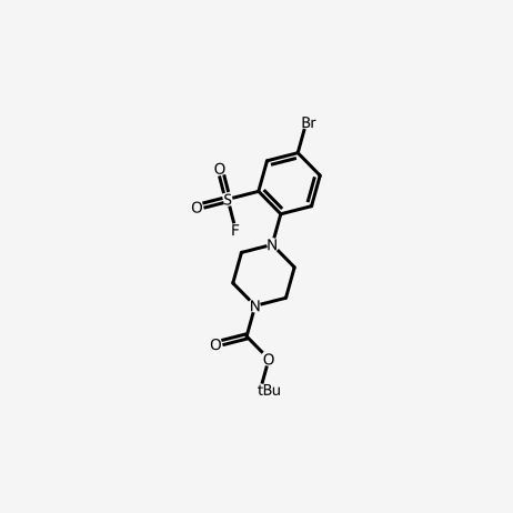 CC(C)(C)OC(=O)N1CCN(c2ccc(Br)cc2S(=O)(=O)F)CC1